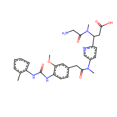 COc1cc(CC(=O)N(C)c2ccc(C(CC(=O)O)N(C)C(=O)CN)nc2)ccc1NC(=O)Nc1ccccc1C